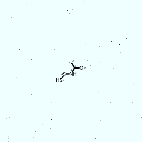 O=C(I)NSS